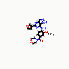 COc1cc(C(=O)N2CCOCC2)ccc1Nc1nc(-c2ccoc2)nc2cn[nH]c12